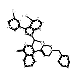 CC(c1oc(=O)c2ccccc2c1C1=CCN(Cc2ccccc2)CC1)n1nc(-c2cncc(O)c2)c2c(N)ncnc21